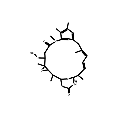 C/C1=C\C=C\C(C)C2(O)CC(OC(=O)N2)C(C)C2OC2(C)C(OC(C)(C)C)CC(=O)N(C)c2cc(cc(C)c2C)C1